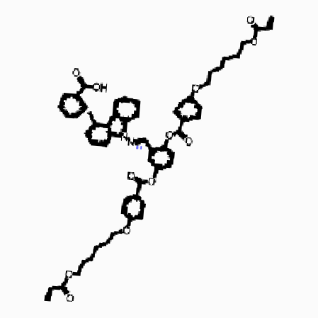 C=CC(=O)OCCCCCCOc1ccc(C(=O)Oc2ccc(OC(=O)c3ccc(OCCCCCCOC(=O)C=C)cc3)c(/C=N/n3c4ccccc4c4c(C)cccc43)c2)cc1.O=C(O)c1ccccc1